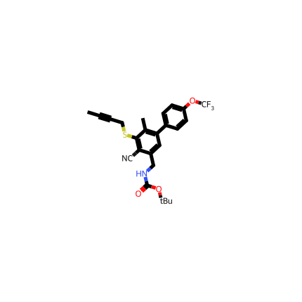 CC#CCSc1c(C)c(-c2ccc(OC(F)(F)F)cc2)cc(CNC(=O)OC(C)(C)C)c1C#N